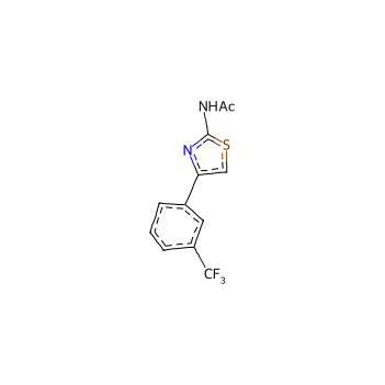 CC(=O)Nc1nc(-c2cccc(C(F)(F)F)c2)cs1